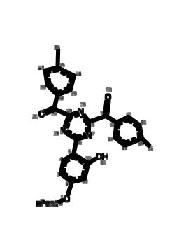 CCCCCOc1ccc(-c2nc(C(=O)c3ccc(C)cc3)nc(C(=O)c3ccc(C)cc3)n2)c(O)c1